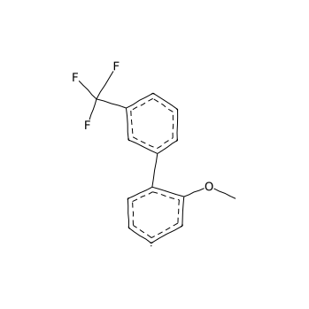 COc1c[c]ccc1-c1cccc(C(F)(F)F)c1